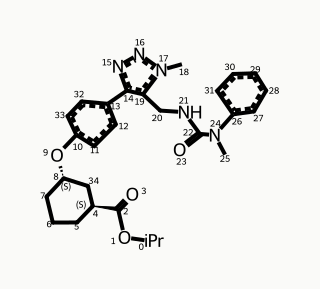 CC(C)OC(=O)[C@H]1CCC[C@H](Oc2ccc(-c3nnn(C)c3CNC(=O)N(C)c3ccccc3)cc2)C1